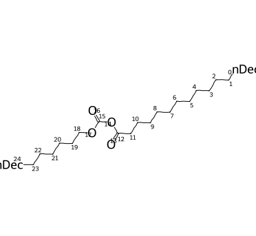 CCCCCCCCCCCCCCCCCCCCCC(=O)OC(=O)OCCCCCCCCCCCCCCCC